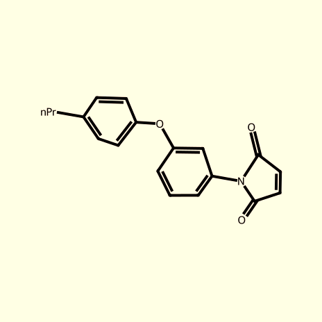 CCCc1ccc(Oc2cccc(N3C(=O)C=CC3=O)c2)cc1